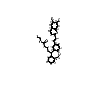 CCOC(=O)CCCC1c2ccccc2COc2ccc(/C=C/c3ccc4cc(F)c(F)cc4n3)cc21